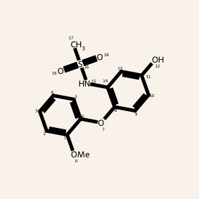 COc1ccccc1Oc1ccc(O)cc1NS(C)(=O)=O